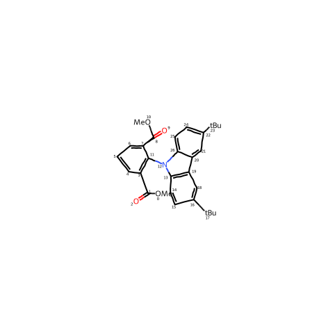 COC(=O)c1cccc(C(=O)OC)c1-n1c2ccc(C(C)(C)C)cc2c2cc(C(C)(C)C)ccc21